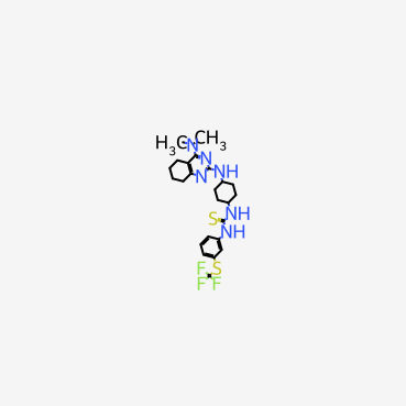 CN(C)c1nc(NC2CCC(NC(=S)Nc3cccc(SC(F)(F)F)c3)CC2)nc2c1CCCC2